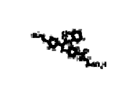 CC(C)(C)/C=C/c1ccc(C(Cc2ccc(C(=O)NCCS(=O)(=O)O)cc2)C(=O)Nc2ccccc2Cl)cc1